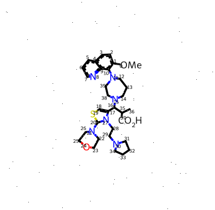 COc1ccc2cccnc2c1N1CCCN(C(C2=CSC(N3CCOCC3)N2CCN2CCCC2)C(C)C(=O)O)CC1